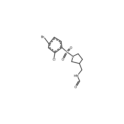 O=CNCC1CCN(S(=O)(=O)c2ccc(Br)cc2Cl)C1